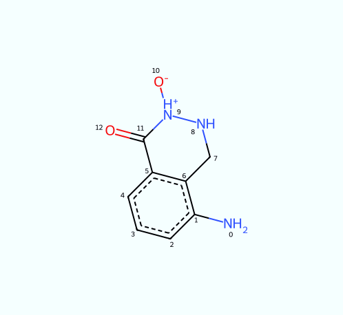 Nc1cccc2c1CN[NH+]([O-])C2=O